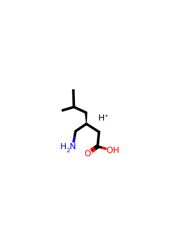 CC(C)C[C@H](CN)CC(=O)O.[H+]